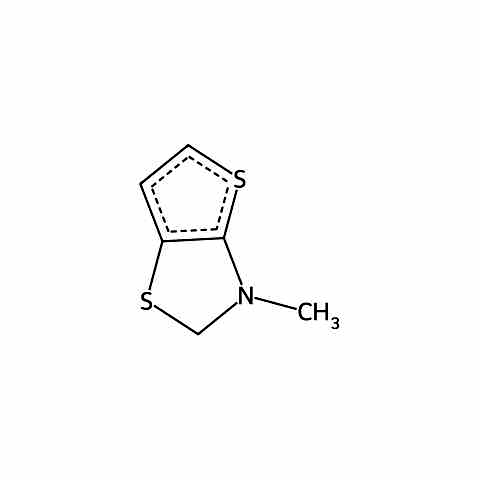 CN1CSc2ccsc21